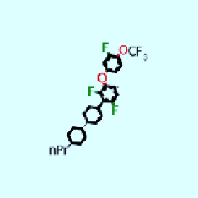 CCC[C@H]1CC[C@H](C2CCC(c3c(F)c[c]c(Oc4ccc(OC(F)(F)F)c(F)c4)c3F)CC2)CC1